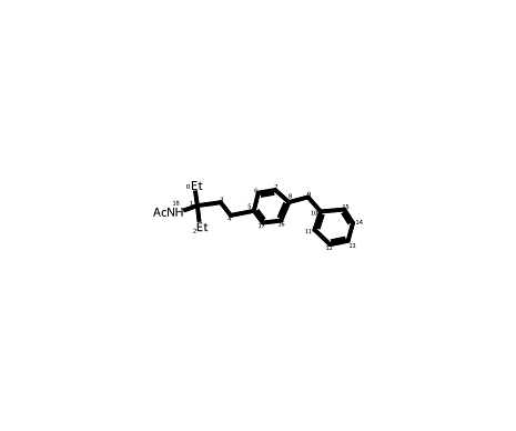 CCC(CC)(CCc1ccc(Cc2ccccc2)cc1)NC(C)=O